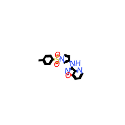 Cc1ccc(S(=O)(=O)n2ccc(Nc3noc4cccnc34)c2)cc1